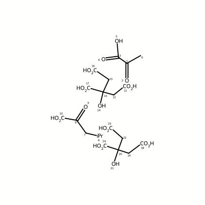 CC(=O)C(=O)O.CC(C)CC(=O)C(=O)O.O=C(O)CC(O)(CC(=O)O)C(=O)O.O=C(O)CC(O)(CC(=O)O)C(=O)O